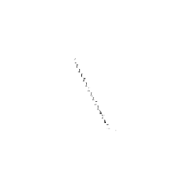 [CH]=C/C=C/C=C/C=C/C=C/CCCCCCCCCCCCCCCCCCCC